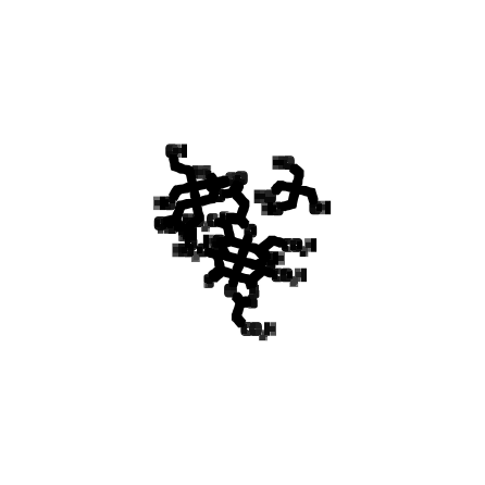 O=C(O)CC(=S)OC(C(=S)CC(=O)O)(C(=S)CC(=O)O)C(CO)(CO)C(OC(=S)CC(=O)OCC(CO)(CCO)C(CC(=O)S)(CC(=O)S)CC(=O)S)(C(=S)CC(=O)O)C(=S)CC(=O)O.OCC(CO)(CO)CO